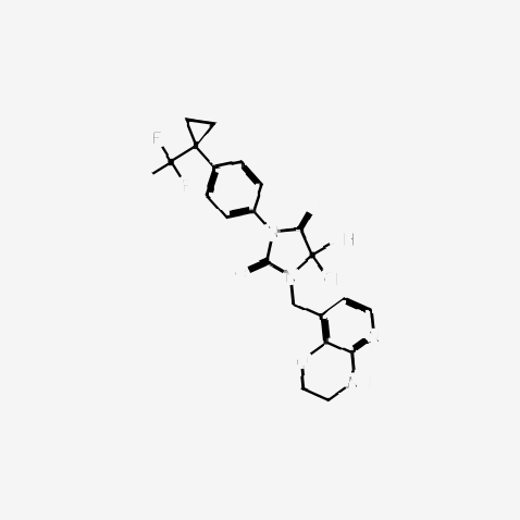 CC1(C)C(=O)N(c2ccc(C3(C(F)(F)F)CC3)cc2)C(=O)N1Cc1ccnc2c1OCCN2